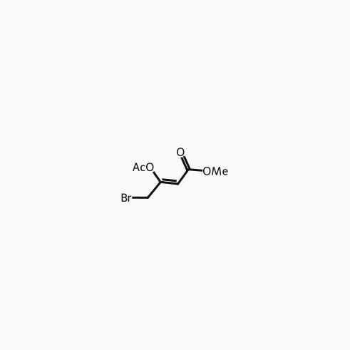 COC(=O)/C=C(/CBr)OC(C)=O